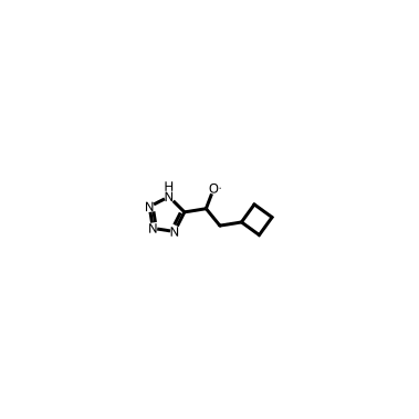 [O]C(CC1CCC1)c1nnn[nH]1